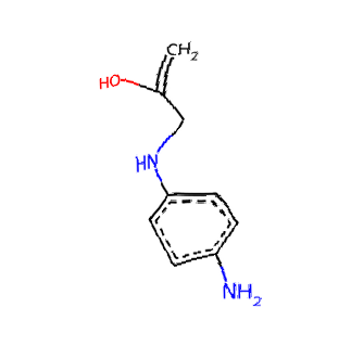 C=C(O)CNc1ccc(N)cc1